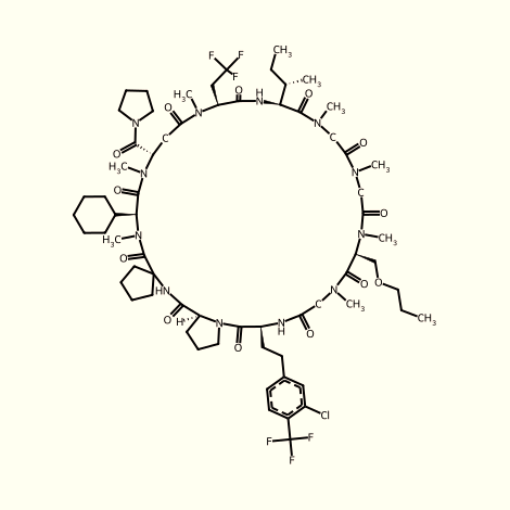 CCCOC[C@H]1C(=O)N(C)CC(=O)N[C@@H](CCc2ccc(C(F)(F)F)c(Cl)c2)C(=O)N2CCC[C@H]2C(=O)NC2(CCCC2)C(=O)N(C)[C@@H](C2CCCCC2)C(=O)N(C)[C@H](C(=O)N2CCCC2)CC(=O)N(C)[C@@H](CC(F)(F)F)C(=O)N[C@@H]([C@@H](C)CC)C(=O)N(C)CC(=O)N(C)CC(=O)N1C